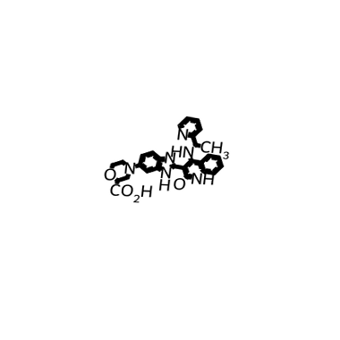 CC(Nc1c(-c2nc3ccc(N4CCOC(C(=O)O)C4)cc3[nH]2)c(=O)[nH]c2ccccc12)c1ccccn1